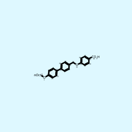 CCCCCCCCOc1ccc(-c2ccc(COc3ccc(C(=O)O)cc3)cc2)cc1